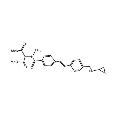 CNC(=O)C(C(=O)OC)N(C)C(=O)c1ccc(/C=C/c2ccc(CNC3CC3)cc2)cc1